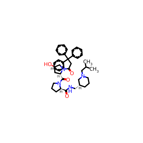 CC(C)CN1CCC[C@H](CNC(=O)[C@H]2CCCN2C(=O)[C@@H]2C[C@@H](O)CN2C(=O)CC(c2ccccc2)(c2ccccc2)c2ccccc2)C1